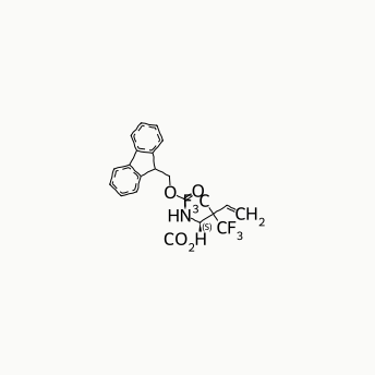 C=CC([C@H](NC(=O)OCC1c2ccccc2-c2ccccc21)C(=O)O)(C(F)(F)F)C(F)(F)F